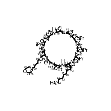 CCC1NC(=O)[C@@H]2[C@@H]([C@H](C)CCCCCCO)ON2C(=O)C(C(C)C)N(C)C(=O)[C@H](CC(C)C)N(C)C(=O)[C@H](CC(C)C)N(C)C(=O)[C@@H](C)NC(=O)C(C)NC(=O)[C@H](CC(C)C)N(C)C(=O)C(C(C)C)NC(=O)C([C@@H](C)OCCCCN2CCOCC2)N(C)C(=O)[C@@H](C)N(C)C1=O